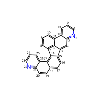 c1cnc2cc3c4c(cccc4c2c1)-c1c-3ccc2ccc3ncccc3c12